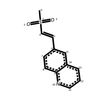 CS(=O)(=O)/C=C/c1ccc2ncccc2c1